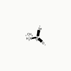 C.N[SH](=O)=[Se]